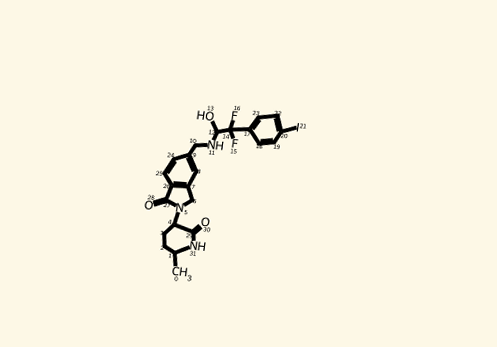 CC1CCC(N2Cc3cc(CNC(O)C(F)(F)c4ccc(I)cc4)ccc3C2=O)C(=O)N1